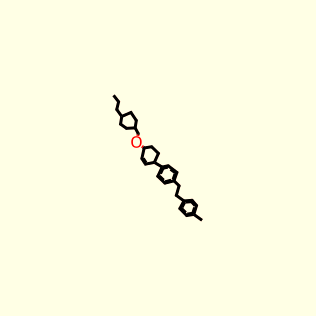 CCCC1CCC(COC2C=CC(c3ccc(CCc4ccc(C)cc4)cc3)CC2)CC1